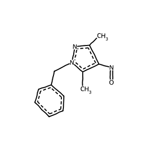 Cc1nn(Cc2ccccc2)c(C)c1N=O